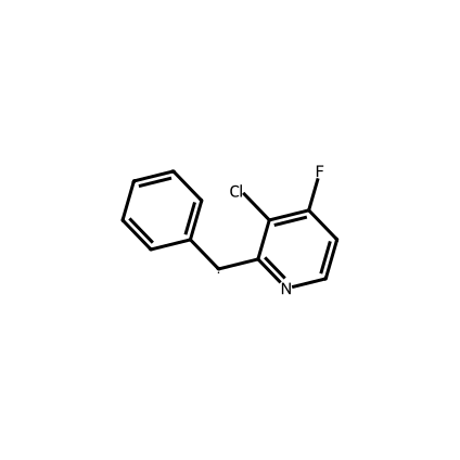 Fc1ccnc([CH]c2ccccc2)c1Cl